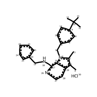 Cc1c(C)n(Cc2ccc(C(C)(C)C)cc2)c2c(NCc3ccccc3)nccc12.Cl